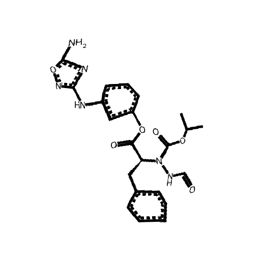 CC(C)OC(=O)N(NC=O)[C@@H](Cc1ccccc1)C(=O)Oc1cccc(Nc2noc(N)n2)c1